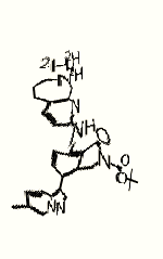 [2H]C([2H])([2H])N1CCCc2ccc(Nc3ccc(-c4cnn5cc(C)ccc45)c4c3C(=O)N(C(=O)OC(C)(C)C)C4)nc2C1